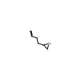 C=CCCC1[CH]O1